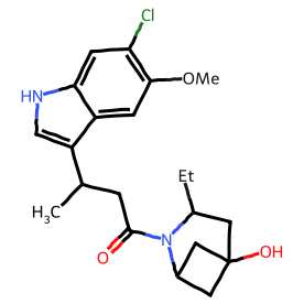 CCC1CC2(O)CC(C2)N1C(=O)CC(C)c1c[nH]c2cc(Cl)c(OC)cc12